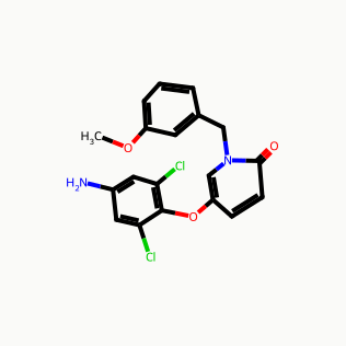 COc1cccc(Cn2cc(Oc3c(Cl)cc(N)cc3Cl)ccc2=O)c1